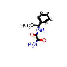 NC(=O)C(=O)NC(C(=O)O)c1ccccc1